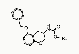 CC(C)(C)OC(=O)NC1COc2cccc(OCc3ccccc3)c2C1